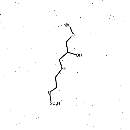 CCCCOCC(O)CNCCOS(=O)(=O)O